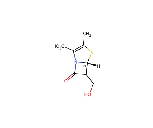 CC1=C(C(=O)O)N2C(=O)C(CO)[C@H]2S1